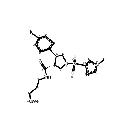 COCCCNC(=O)[C@H]1CN(S(=O)(=O)c2cn(C)cn2)C[C@@H]1c1ccc(F)cc1